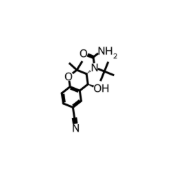 CC1(C)Oc2ccc(C#N)cc2[C@H](O)[C@H]1N(C(N)=O)C(C)(C)C